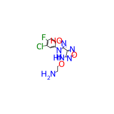 NCCONc1nonc1/C(=N/O)Nc1ccc(F)c(Cl)c1